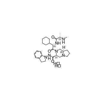 CN[C@@H](C)C(=O)N[C@H](C(=O)N1C[C@H]2CCCN2C[C@H]1C(=O)NN1CCc2ccccc21)C1CCCCC1.Cl.Cl